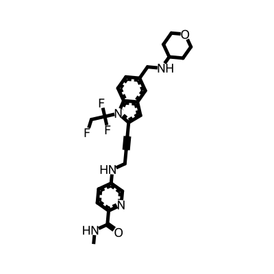 CNC(=O)c1ccc(NCC#Cc2cc3cc(CNC4CCOCC4)ccc3n2C(F)(F)CF)cn1